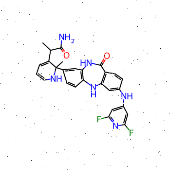 CC(C(N)=O)C1=CC=CNC1(C)c1ccc2c(c1)NC(=O)c1ccc(Nc3cc(F)nc(F)c3)cc1N2